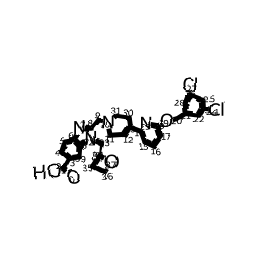 O=C(O)c1ccc2nc(CN3CC=C(c4cccc(OCc5cc(Cl)cc(Cl)c5)n4)CC3)n(C[C@@H]3CCO3)c2c1